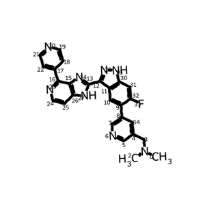 CN(C)Cc1cncc(-c2cc3c(-c4nc5c(-c6ccncc6)nccc5[nH]4)n[nH]c3cc2F)c1